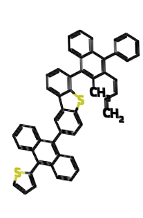 C=C/C=C\c1c(C)c(-c2cccc3c2sc2ccc(-c4c5ccccc5c(-c5cccs5)c5ccccc45)cc23)c2ccccc2c1-c1ccccc1